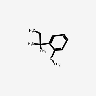 CCC(C)(N)c1ccccc1OC